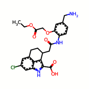 CCOC(=O)COc1cc(CN)ccc1NC(=O)CC1CCc2cc(Cl)cc3[nH]c(C(=O)O)c1c23